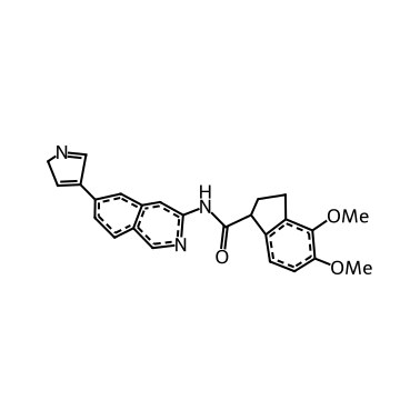 COc1ccc2c(c1OC)CCC2C(=O)Nc1cc2cc(C3=CCN=C3)ccc2cn1